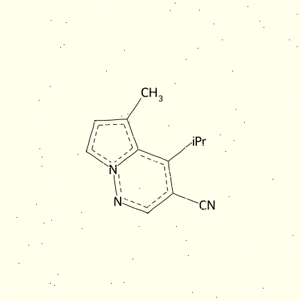 Cc1ccn2ncc(C#N)c(C(C)C)c12